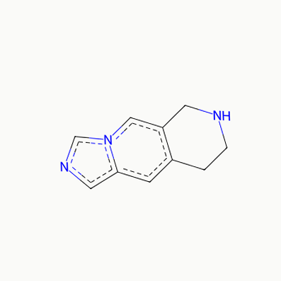 c1ncn2cc3c(cc12)CCNC3